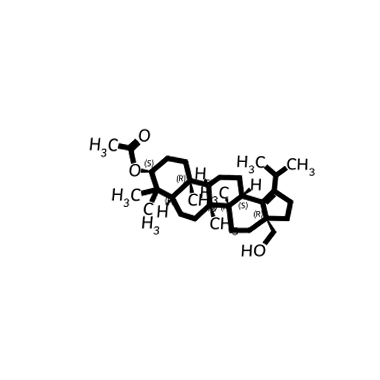 CC(=O)O[C@H]1CC[C@]2(C)[C@H]3CC[C@@H]4C5=C(C(C)C)CC[C@]5(CO)CC[C@@]4(C)[C@]3(C)CC[C@H]2C1(C)C